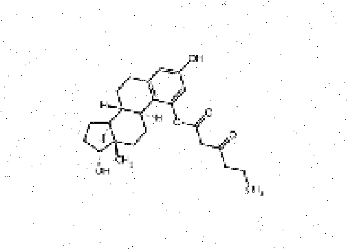 CCCC(=O)CC(=O)Oc1cc(O)cc2c1[C@H]1CC[C@]3(C)[C@H](O)CC[C@H]3[C@@H]1CC2